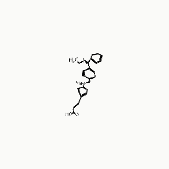 CC/N=C(/c1ccccc1)c1ccc(CNc2ccc(CCC(=O)O)cc2)cc1